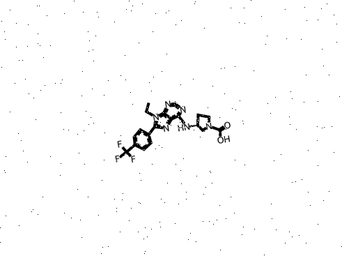 CCn1c(-c2ccc(C(F)(F)F)cc2)nc2c(N[C@H]3CCN(C(=O)O)C3)ncnc21